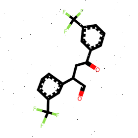 O=CC(CC(=O)c1cccc(C(F)(F)F)c1)c1cccc(C(F)(F)F)c1